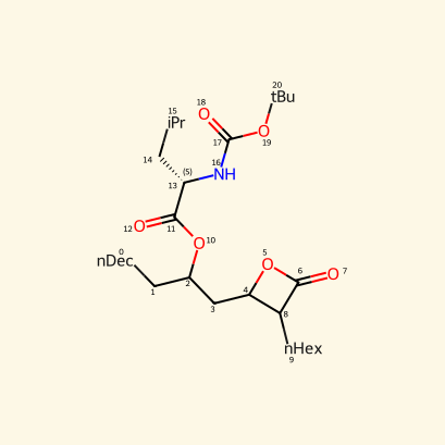 CCCCCCCCCCCC(CC1OC(=O)C1CCCCCC)OC(=O)[C@H](CC(C)C)NC(=O)OC(C)(C)C